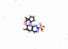 Cc1cc2cnc(S(C)(=O)=O)nc2n(C2CCCC23CC3)c1=O